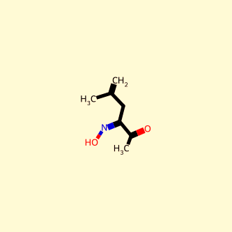 C=C(C)CC(=NO)C(C)=O